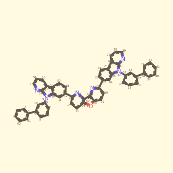 c1ccc(-c2cccc(-n3c4cc(-c5ccc6oc7ccc(-c8ccc9c%10cccnc%10n(-c%10cccc(-c%11ccccc%11)c%10)c9c8)nc7c6n5)ccc4c4cccnc43)c2)cc1